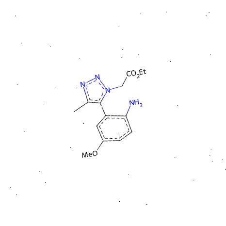 CCOC(=O)Cn1nnc(C)c1-c1cc(OC)ccc1N